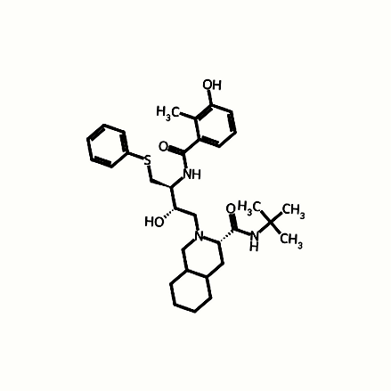 Cc1c(O)cccc1C(=O)N[C@H](CSc1ccccc1)[C@@H](O)CN1CC2CCCCC2C[C@H]1C(=O)NC(C)(C)C